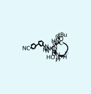 CC(C)(C)OC(=O)N[C@@H]1CCCCC/C=C\[C@@H]2C[C@]2(C(=O)O)NC(=O)[C@@H]2C[C@H](n3nnc(-c4cccc(-c5ccc(C#N)cc5)c4)n3)CN2C1=O